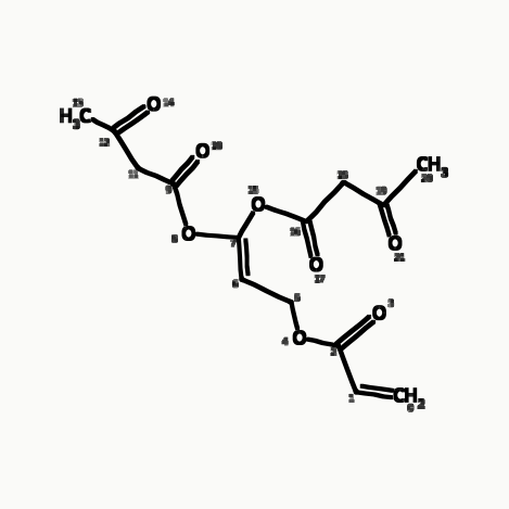 C=CC(=O)OCC=C(OC(=O)CC(C)=O)OC(=O)CC(C)=O